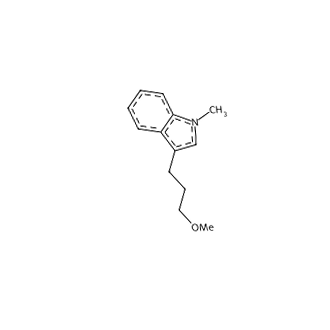 COCCCc1cn(C)c2ccccc12